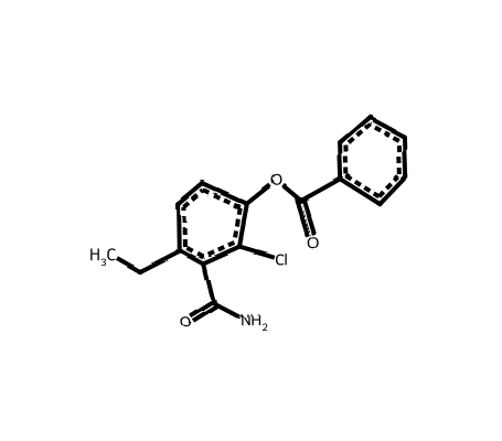 CCc1ccc(OC(=O)c2ccccc2)c(Cl)c1C(N)=O